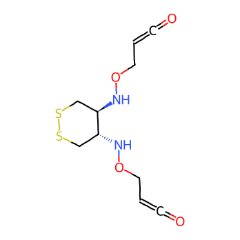 O=C=CCON[C@@H]1CSSC[C@H]1NOCC=C=O